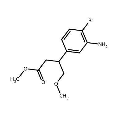 COCC(CC(=O)OC)c1ccc(Br)c(N)c1